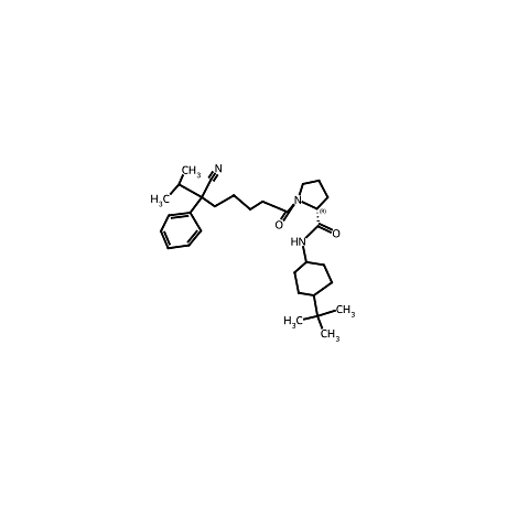 CC(C)C(C#N)(CCCCC(=O)N1CCC[C@@H]1C(=O)NC1CCC(C(C)(C)C)CC1)c1ccccc1